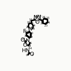 CC(=O)NC[C@H]1CN(c2ccc(N3CCC(Cc4nnc(-c5ccccc5)o4)CC3)c(F)c2)C(=O)O1